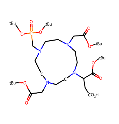 CC(C)(C)OC(=O)CN1CCN(CP(=O)(OC(C)(C)C)OC(C)(C)C)CCN(CC(=O)OC(C)(C)C)CCN(C(CC(=O)O)C(=O)OC(C)(C)C)CC1